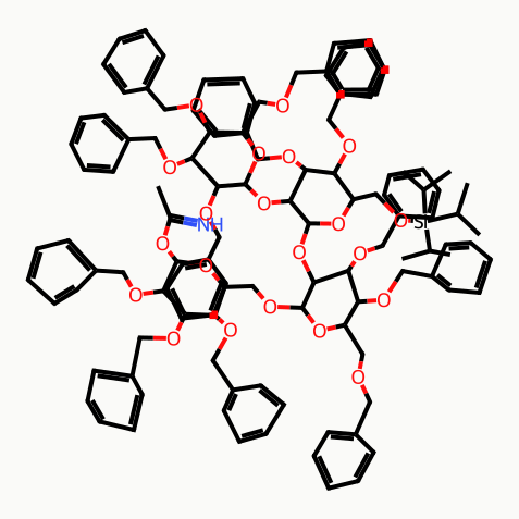 CC(=N)OC1OC(COC2OC(COCc3ccccc3)C(OCc3ccccc3)C(OCc3ccccc3)C2OC2OC(CO[Si](C(C)C)(C(C)C)C(C)C)C(OCc3ccccc3)C(OCc3ccccc3)C2OC2OC(COCc3ccccc3)C(OCc3ccccc3)C(OCc3ccccc3)C2OCc2ccccc2)C(OCc2ccccc2)C(OCc2ccccc2)C1OCc1ccccc1